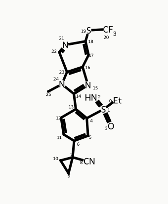 CCS(=N)(=O)c1cc(C2(C#N)CC2)ccc1-c1nc2cc(SC(F)(F)F)ncc2n1C